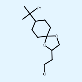 CC(C)C(C)(C)C1CCC2(CC1)OCC(CCCl)O2